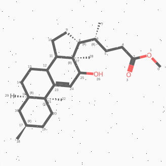 COC(=O)CC[C@@H](C)[C@H]1CCC2C3CC[C@@H]4C[C@H](C)CC[C@]4(C)C3=CC(O)[C@@]21C